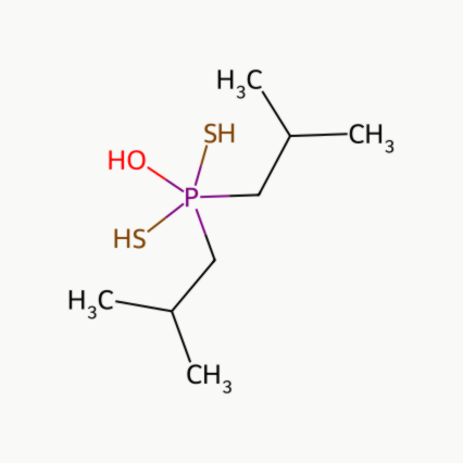 CC(C)CP(O)(S)(S)CC(C)C